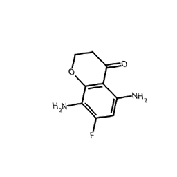 Nc1cc(F)c(N)c2c1C(=O)CCO2